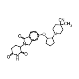 CC1(C#N)CCN(C2CCCC2Oc2ccc3c(c2)CN(C2CCC(=O)NC2=O)C3=O)CC1